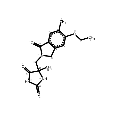 CCOc1cc2c(cc1C)C(=O)N(CC1(C)NC(=O)NC1=O)C2